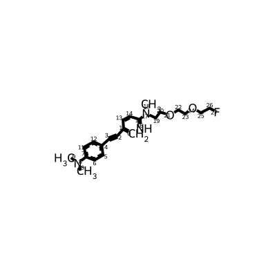 C=C(C#Cc1ccc(N(C)C)cc1)/C=C\C(=N)N(C)CCOCCOCCF